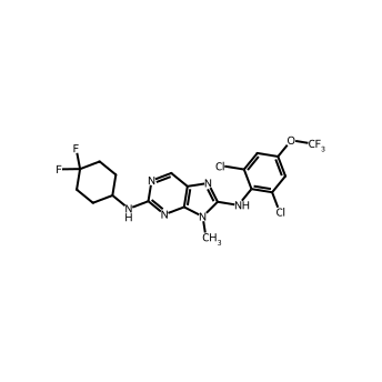 Cn1c(Nc2c(Cl)cc(OC(F)(F)F)cc2Cl)nc2cnc(NC3CCC(F)(F)CC3)nc21